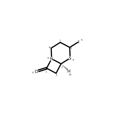 O=C1C[C@@H]2SC(I)CCN12